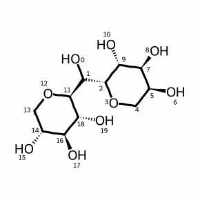 OC([C@H]1OC[C@H](O)[C@H](O)[C@H]1O)[C@@H]1O[CH][C@@H](O)[C@H](O)[C@H]1O